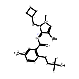 Cn1cc(C(C)(C)C)/c(=N\C(=O)c2cc(C(F)(F)F)ccc2CCC(C)(C)O)n1CC1CCC1